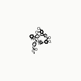 CCOC(=O)CN1CCN(C(=O)NC2(c3ccccc3)CCN(CCC3(c4ccc(Cl)c(Cl)c4)CCN(C(=O)c4cc([C@@H]5C=NN=N5)ccc4OC)C3)CC2)CC1